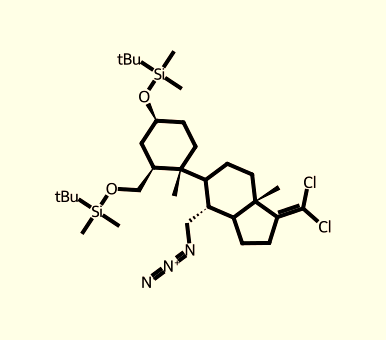 CC(C)(C)[Si](C)(C)OC[C@H]1C[C@@H](O[Si](C)(C)C(C)(C)C)CC[C@]1(C)C1CC[C@]2(C)C(=C(Cl)Cl)CCC2[C@@H]1CN=[N+]=[N-]